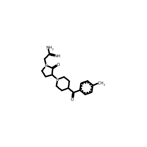 Cc1ccc(C(=O)C2CCN(C3CCN(CC(=N)N)C3=O)CC2)cc1